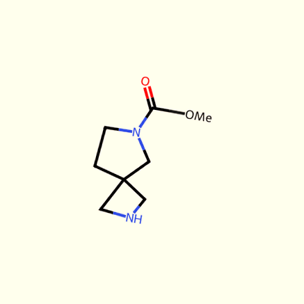 COC(=O)N1CCC2(CNC2)C1